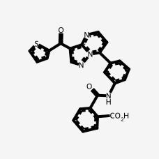 O=C(O)c1ccccc1C(=O)Nc1cccc(-c2ccnc3c(C(=O)c4cccs4)cnn23)c1